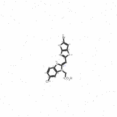 O=C(O)CN1/C(=C/c2nc3sc(Br)cc3s2)Sc2ccc(Cl)cc21